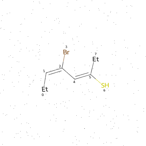 CC/C=C(Br)\C=C(\S)CC